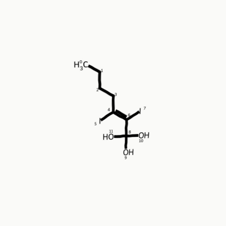 CCCC/C(I)=C(\I)C(O)(O)O